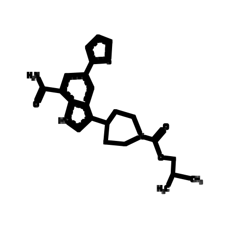 CC(C)COC(=O)N1CCC(c2c[nH]c3c(C(N)=O)cc(-c4cccs4)cc23)CC1